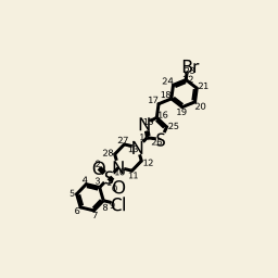 O=S(=O)(c1ccccc1Cl)N1CCN(c2nc(Cc3cccc(Br)c3)cs2)CC1